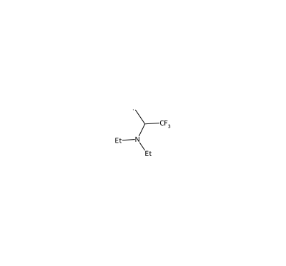 [CH2]C(N(CC)CC)C(F)(F)F